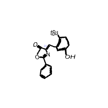 CC(C)(C)c1ccc(O)cc1/C=C1\N=C(c2ccccc2)OC1=O